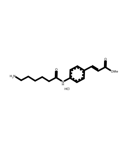 COC(=O)C=Cc1ccc(NC(=O)CCCCCN)cc1.Cl